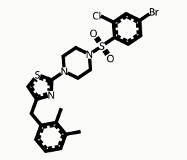 Cc1cccc(Cc2csc(N3CCN(S(=O)(=O)c4ccc(Br)cc4Cl)CC3)n2)c1C